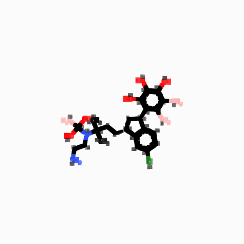 Bc1c(B)c([C@@H]2C[C@@H](CCC(C)(C)N(CCN)C(B)(O)O)c3cc(Cl)ccc32)c(O)c(O)c1O